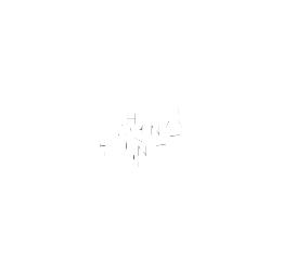 CCC1(O)CC(=O)OCc2c1cc1n(c2=O)Cc2cc3c(Cl)cc(Cl)cc3nc2-1